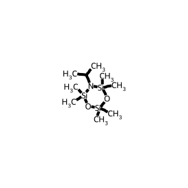 CC(C)N1[Si](C)(C)O[Si](C)(C)O[Si]1(C)C